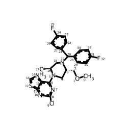 COC[C@@H]1CN(c2nc(Cl)nc3scnc23)[C@@H](C)CN1C(c1ccc(F)cc1)c1ccc(F)cc1